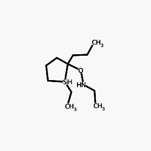 CCCC1(ONCC)CCC[SiH]1CC